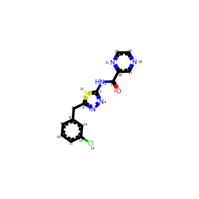 O=C(Nc1nnc(Cc2cccc(Cl)c2)s1)c1cnccn1